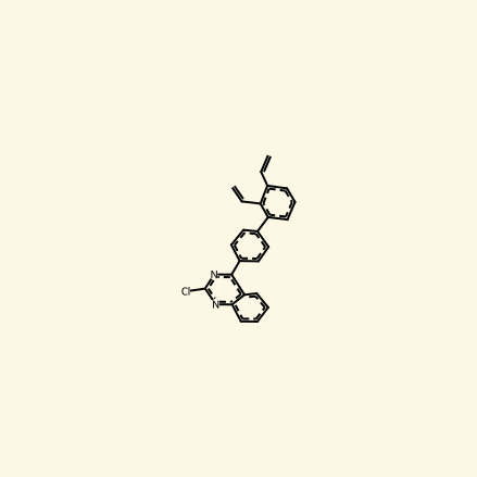 C=Cc1cccc(-c2ccc(-c3nc(Cl)nc4ccccc34)cc2)c1C=C